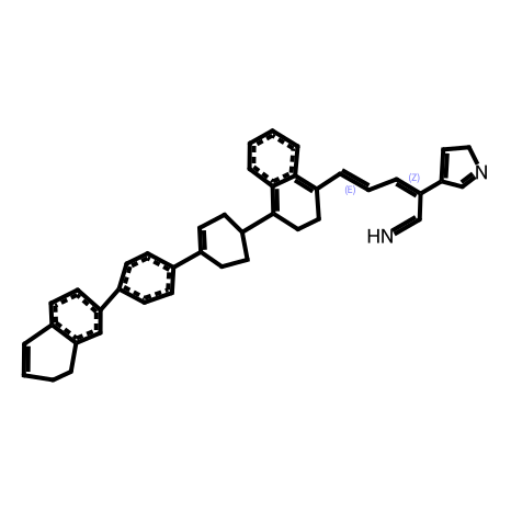 N=C/C(=C\C=C\C1=c2ccccc2=C(C2CC=C(c3ccc(-c4ccc5c(c4)CCC=C5)cc3)CC2)CC1)C1=CCN=C1